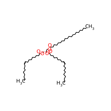 CCCCCCCC/C=C\CCCCCCCC(=O)OC[C@H](COC(=O)CCCCCCCCCCCCCCCCCCCC)OC(=O)CCCCCCC/C=C\CCCCCCCCC